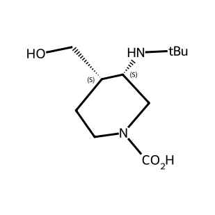 CC(C)(C)N[C@@H]1CN(C(=O)O)CC[C@@H]1CO